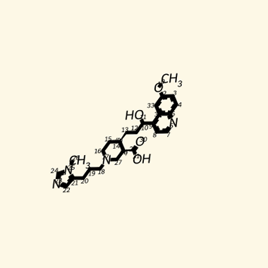 COc1ccc2nccc(C(O)CC[C@@H]3CCN(CCCc4cncn4C)C[C@@H]3C(=O)O)c2c1